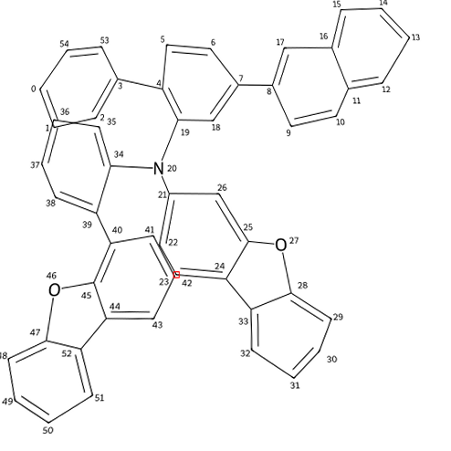 c1ccc(-c2ccc(-c3ccc4ccccc4c3)cc2N(c2ccc3c(c2)oc2ccccc23)c2ccccc2-c2cccc3c2oc2ccccc23)cc1